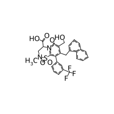 CN1CC(C(=O)O)n2c(c(-c3cccc(C(F)(F)F)c3)c(Cc3cccc4ccccc34)c(CO)c2=O)S1(=O)=O